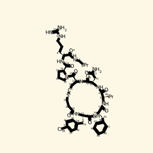 CC(C)CNC(=O)[C@@H](CCCNC(=N)N)NC(=O)[C@@H]1CCCN1C(=O)[C@@H]1CCSCCC(=O)N[C@@H](Cc2ccc(Cl)cc2)C(=O)N[C@@H](Cc2ccccc2)C(=O)N[C@@H](C(C)C)C(=O)N[C@@H](CC(N)=O)C(=O)N1